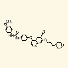 COc1ccc(NC(=O)Nc2ccc(Oc3ccnc4cc(OCCCN5CCOCC5)c(C#N)cc34)cc2)cc1